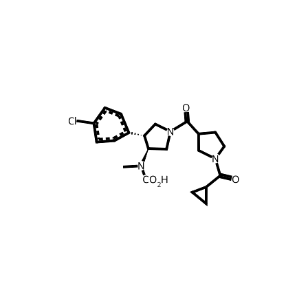 CN(C(=O)O)[C@@H]1CN(C(=O)C2CCN(C(=O)C3CC3)C2)C[C@H]1c1ccc(Cl)cc1